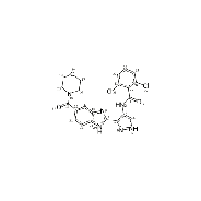 O=C(Nc1c[nH]nc1-c1nc2cc(C(=O)N3CCOCC3)ccc2[nH]1)c1c(Cl)cccc1Cl